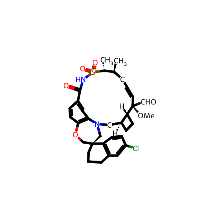 CO[C@]1(C=O)/C=C/C[C@H](C)[C@@H](C)S(=O)(=O)NC(=O)c2ccc3c(c2)N(C[C@@H]2CC[C@H]21)C[C@@]1(CCCc2cc(Cl)ccc21)CO3